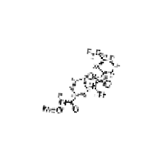 CCN(c1cccc(C(=O)N(C)OC)c1)S(=O)(=O)c1cccc(C(F)(F)F)c1